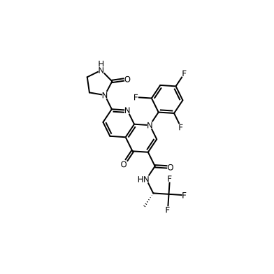 C[C@H](NC(=O)c1cn(-c2c(F)cc(F)cc2F)c2nc(N3CCNC3=O)ccc2c1=O)C(F)(F)F